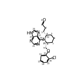 O=CCC[C@@H]1CCC[C@H](COc2ccccc2Cl)N1c1ncnc2[nH]cnc12